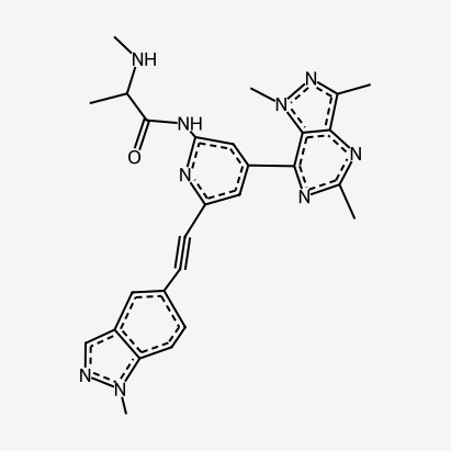 CNC(C)C(=O)Nc1cc(-c2nc(C)nc3c(C)nn(C)c23)cc(C#Cc2ccc3c(cnn3C)c2)n1